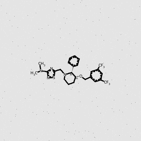 CN(C)c1nsc(CN2CCC[C@@H](OCc3cc(C(F)(F)F)cc(C(F)(F)F)c3)[C@H]2c2ccccc2)n1